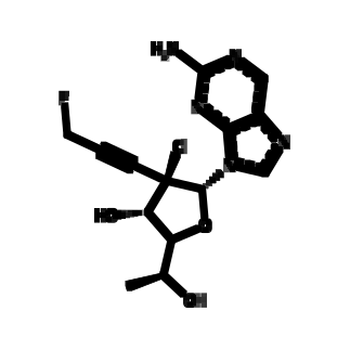 C[C@H](O)C1O[C@@H](n2cnc3cnc(N)nc32)[C@@](Cl)(C#CCF)[C@H]1O